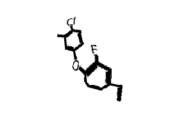 C=Cc1ccc(Oc2ccc(Cl)c(C)c2)c(F)c1